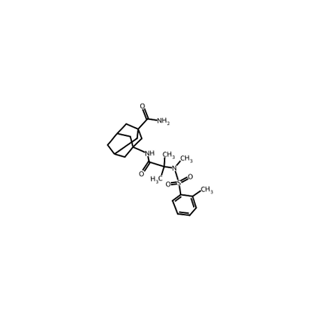 Cc1ccccc1S(=O)(=O)N(C)C(C)(C)C(=O)NC12CC3CC(C1)CC(C(N)=O)(C3)C2